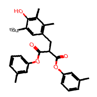 Cc1cccc(OC(=O)C(Cc2cc(C(C)(C)C)c(O)c(C)c2C)C(=O)Oc2cccc(C)c2)c1